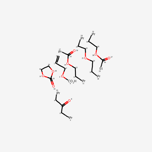 C=CCOC(=O)O.CC(C)CC(=O)CC(C)C.CC(C)CCOC(=O)C(C)C.CC(C)CCOCCC(C)C.CCC(=O)OCCC(C)C.O=C1OCCO1